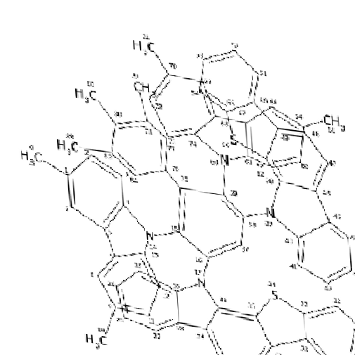 Cc1ccc2c(c1)c1cc(C)ccc1n2-c1c(-n2c3ccccc3c3ccc4c5ccccc5sc4c32)cc(-n2c3ccccc3c3ccc4c5ccccc5sc4c32)c(-n2c3ccc(C)cc3c3cc(C)ccc32)c1-c1cc(C)c(C)c(C)c1